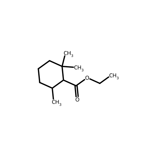 CCOC(=O)C1C(C)CCCC1(C)C